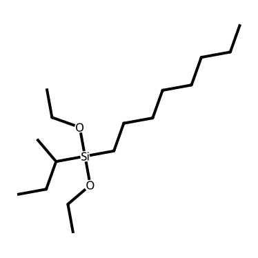 CCCCCCCC[Si](OCC)(OCC)C(C)CC